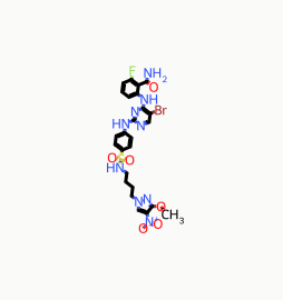 COc1nn(CCCCNS(=O)(=O)c2ccc(Nc3ncc(Br)c(Nc4cccc(F)c4C(N)=O)n3)cc2)cc1[N+](=O)[O-]